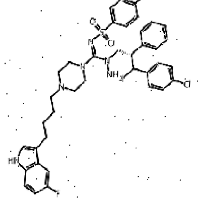 NN(C[C@H](c1ccccc1)C(I)c1ccc(Cl)cc1)/C(=N\S(=O)(=O)c1ccc(Cl)cc1)N1CCN(CCCCc2c[nH]c3ccc(F)cc23)CC1